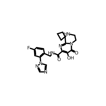 O=C(NCc1ccc(F)cc1-n1cncn1)c1nc2n(c(=O)c1O)CCNC21CCC1